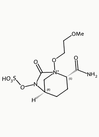 COCCO[N+]12C[C@@H](CC[C@H]1C(N)=O)N(OS(=O)(=O)O)C2=O